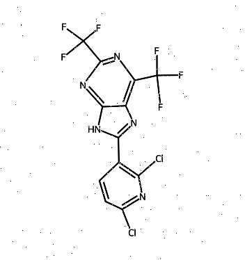 FC(F)(F)c1nc(C(F)(F)F)c2nc(-c3ccc(Cl)nc3Cl)[nH]c2n1